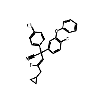 N#CC(C=C(F)CC1CC1)(c1ccc(Cl)cc1)c1ccc(F)c(Oc2ccccc2)c1